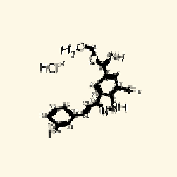 CCOC(=N)c1cc(F)c2[nH]nc(/C=C/c3cccc(F)c3)c2c1.Cl